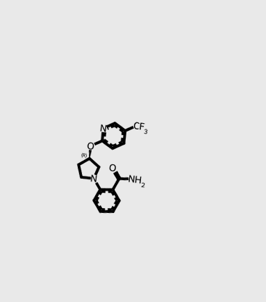 NC(=O)c1ccccc1N1CC[C@@H](Oc2ccc(C(F)(F)F)cn2)C1